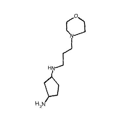 NC1CCC(NCCCN2CCOCC2)C1